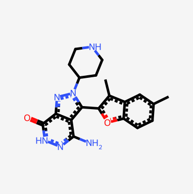 Cc1ccc2oc(-c3c4c(N)n[nH]c(=O)c4nn3C3CCNCC3)c(C)c2c1